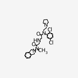 CN(C(=O)CNCC(=O)N(CCN1CCCC1)c1cc(Cl)ccc1Cl)N1Cc2ccccc2C1